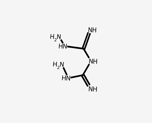 N=C(NN)NC(=N)NN